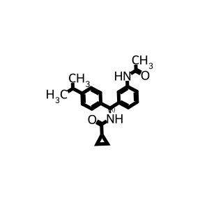 CC(=O)Nc1cccc([C@H](NC(=O)C2CC2)c2ccc(C(C)C)cc2)c1